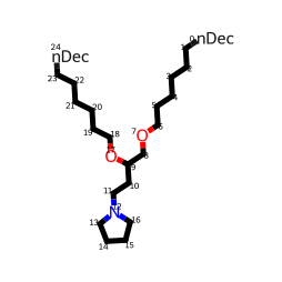 CCCCCCCCCCCCCCCCOCC(CCN1CCCC1)OCCCCCCCCCCCCCCCC